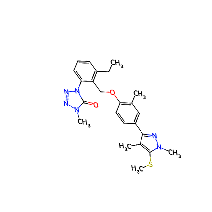 CCc1cccc(-n2nnn(C)c2=O)c1COc1ccc(-c2nn(C)c(SC)c2C)cc1C